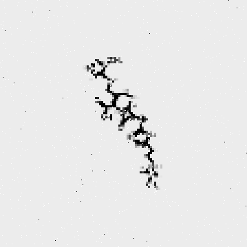 Cn1nnnc1SCC1=C(C(=O)O)N2C(=O)C(Nc3nc(CCNS(C)(=O)=O)c[nH]3)[C@H]2SC1